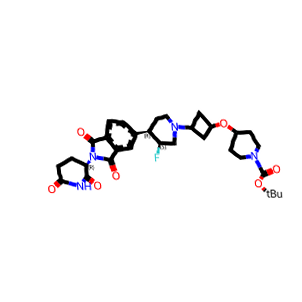 CC(C)(C)OC(=O)N1CCC(OC2CC(N3CC[C@H](c4ccc5c(c4)C(=O)N([C@@H]4CCC(=O)NC4=O)C5=O)[C@H](F)C3)C2)CC1